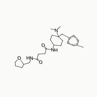 Cc1ccc(CC2(N(C)C)CCC(NC(=O)CCC(=O)NCC3CCCO3)CC2)cc1